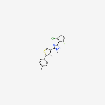 Cc1ccc(-c2scc(-c3nc(-c4c(F)cccc4Cl)nn3C)c2C)cc1